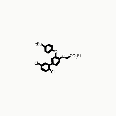 CCOC(=O)COc1ccc(-c2cc(Cl)ccc2Cl)cc1Oc1ccc(C(C)(C)C)cc1